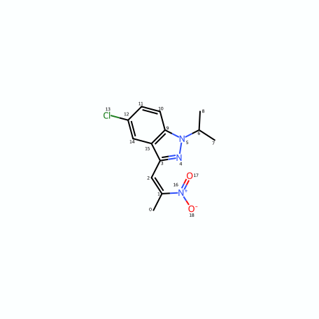 CC(=Cc1nn(C(C)C)c2ccc(Cl)cc12)[N+](=O)[O-]